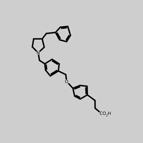 O=C(O)CCc1ccc(OCc2ccc(CN3CCC(Cc4ccccc4)C3)cc2)cc1